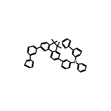 CC1(C)c2ccc(-c3cccc(-c4ccccc4)c3)cc2-c2ccc(-c3cccc(N(c4ccccc4)c4cccc(-c5ccccc5)c4)c3)cc2C1(C)C